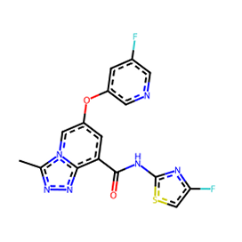 Cc1nnc2c(C(=O)Nc3nc(F)cs3)cc(Oc3cncc(F)c3)cn12